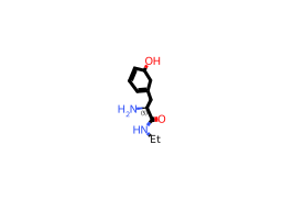 CCNC(=O)[C@@H](N)CC1=CC=CC(O)C1